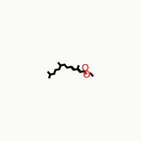 CCOC(=O)/C=C(C)/C=C/CCC(C)CCCC(C)C